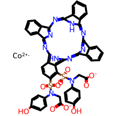 O=C([O-])CN(c1ccc(O)cc1)S(=O)(=O)c1ccc2c3nc4nc(nc5[nH]c(nc6nc(nc([nH]3)c2c1S(=O)(=O)N(CC(=O)[O-])c1ccc(O)cc1)-c1ccccc1-6)c1ccccc51)-c1ccccc1-4.[Co+2]